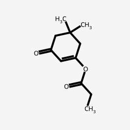 CCC(=O)OC1=CC(=O)CC(C)(C)C1